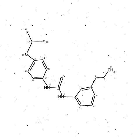 CCCc1cccc(NC(=O)Nc2ccc(OC(F)F)cc2)c1